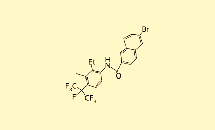 CCc1c(NC(=O)c2ccc3cc(Br)ccc3c2)ccc(C(F)(C(F)(F)F)C(F)(F)F)c1C